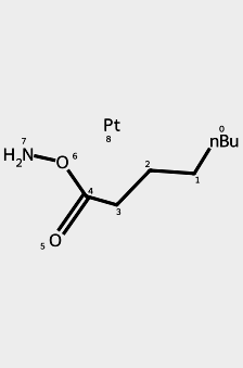 CCCCCCCC(=O)ON.[Pt]